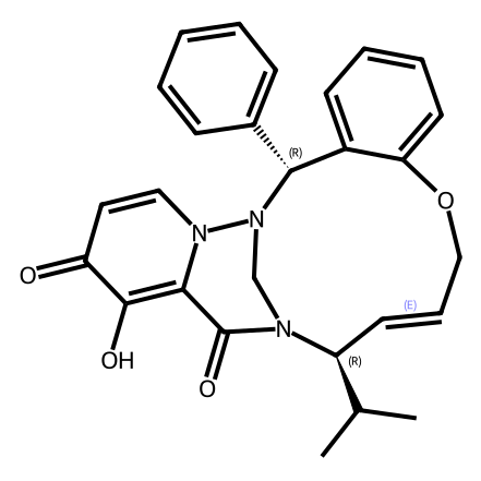 CC(C)[C@@H]1/C=C/COc2ccccc2[C@@H](c2ccccc2)N2CN1C(=O)c1c(O)c(=O)ccn12